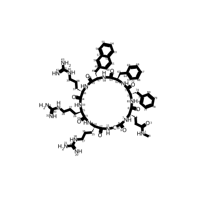 CNC(=O)CC[C@@H]1NC(=O)CNC(=O)[C@H](CCCNC(=N)N)NC(=O)[C@@H](CCCNC(=N)N)NC(=O)[C@H](CCCNC(=N)N)NC(=O)[C@H](Cc2ccc3ccccc3c2)NC(=O)[C@@H](Cc2ccccc2)NC(=O)[C@H](Cc2ccccc2)NC1=O